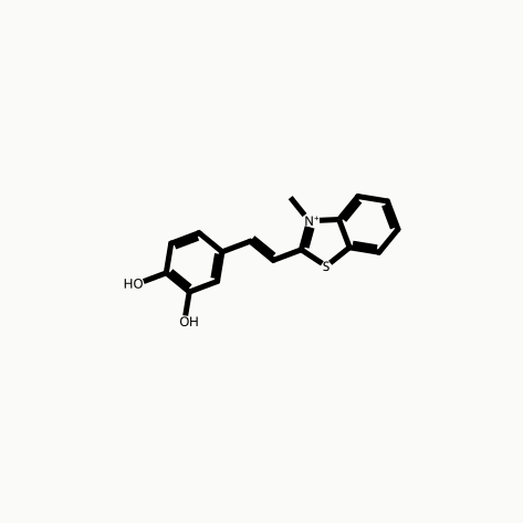 C[n+]1c(/C=C/c2ccc(O)c(O)c2)sc2ccccc21